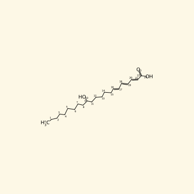 CCCCCCCCCC(O)CCCCCC=CC=CC=CC(=O)O